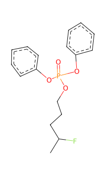 CC(F)CCCOP(=O)(Oc1ccccc1)Oc1ccccc1